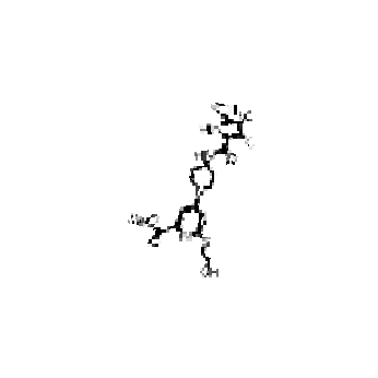 COC(=O)c1cc(N2CCC(NC(=O)c3[nH]c(C)c(Cl)c3Cl)CC2)nc(SCCO)n1